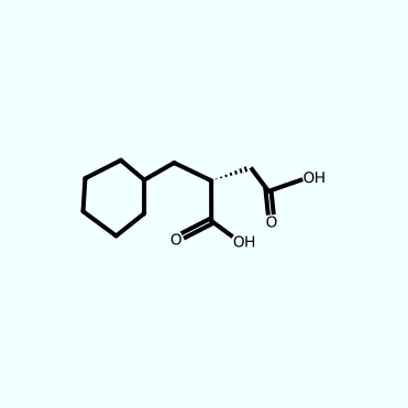 O=C(O)C[C@@H](CC1CCCCC1)C(=O)O